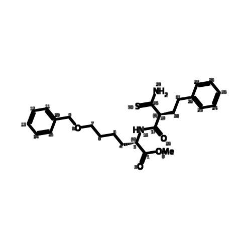 COC(=O)[C@H](CCCCOCc1ccccc1)NC(=O)[C@H](CCc1ccccc1)C(N)=S